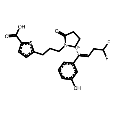 O=C(O)c1ccc(CCCN2C(=O)CC[C@@H]2C(=CCC(F)F)c2cccc(O)c2)s1